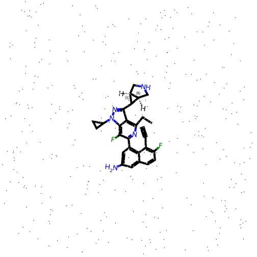 C#Cc1c(F)ccc2cc(N)cc(-c3nc(CC)c4c(C5[C@H]6CNC[C@@H]56)nn(C5CC5)c4c3F)c12